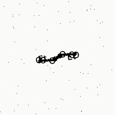 CCC1(COCCCCCCOc2ccc(C(C)(C)c3ccc(OCCCCCCOCC4(CC)OC4C)cc3)cc2)OC1C